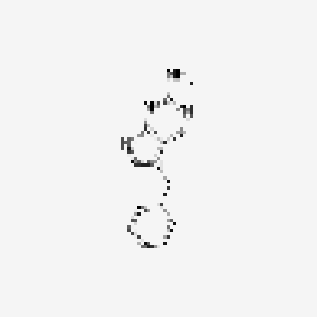 Nc1ncc2c(ncn2Cc2ccccc2)n1